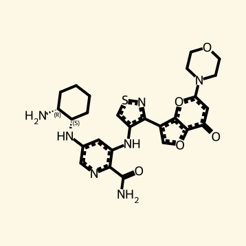 NC(=O)c1ncc(N[C@H]2CCCC[C@H]2N)cc1Nc1csnc1-c1coc2c(=O)cc(N3CCOCC3)oc12